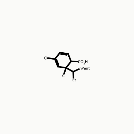 CCCCCC(CC)C1(Cl)C=C(Cl)C=CC1C(=O)O